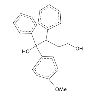 COc1ccc(C(O)(c2ccccc2)C(CCO)c2ccccc2)cc1